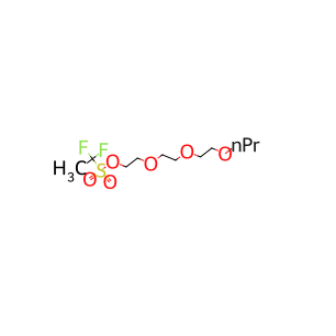 CCCOCCOCCOCCOS(=O)(=O)C(C)(F)F